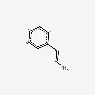 [3H]C=Cc1ccccc1